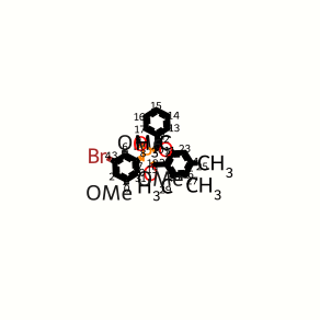 COc1cc(Br)c(OC)c(P(=O)(C(=O)c2ccccc2)C(=O)c2c(C)cc(C)c(C)c2C)c1OC